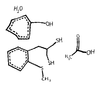 CC(=O)O.CSc1ccccc1CC(S)S.O.Oc1ccccc1